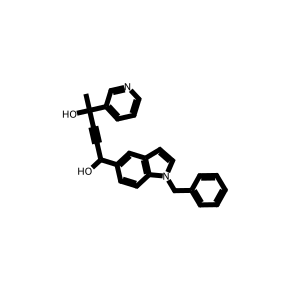 CC(O)(C#CC(O)c1ccc2c(ccn2Cc2ccccc2)c1)c1cccnc1